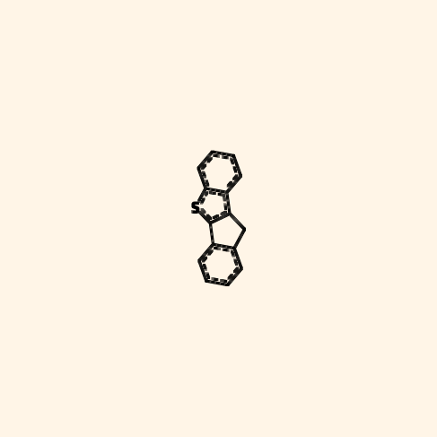 c1ccc2c(c1)Cc1c-2sc2ccccc12